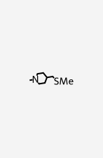 CSCC1CCN(C)CC1